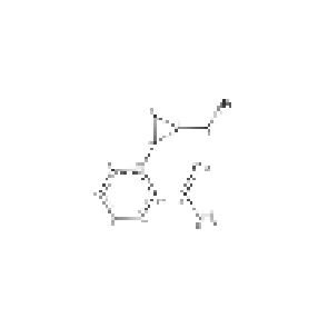 CC(C)CC1CC1c1ccccc1C(N)=O